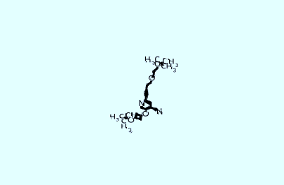 CC(C)(C)OCCCOCCC#Cc1cc(C#N)c(OC2CC(OC(C)(C)C)C2)cn1